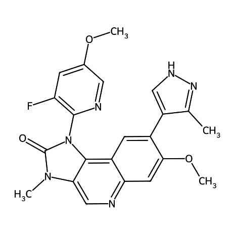 COc1cnc(-n2c(=O)n(C)c3cnc4cc(OC)c(-c5c[nH]nc5C)cc4c32)c(F)c1